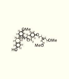 COCCN(CCOC)CCOc1ccc(CC(C)Nc2cc(OC)ccc2C2CCc3cc(O)ccc3C2)cc1